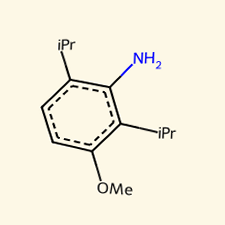 COc1ccc(C(C)C)c(N)c1C(C)C